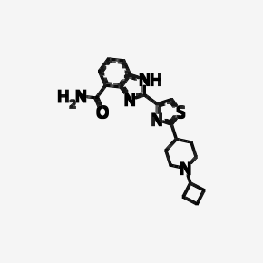 NC(=O)c1cccc2[nH]c(-c3csc(C4CCN(C5CCC5)CC4)n3)nc12